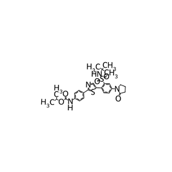 CC(C)OC(=O)Nc1ccc(-c2ncc(-c3ccc(N4CCCC4=O)cc3S(=O)(=O)NC(C)(C)C)s2)cc1